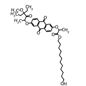 CCC(CC)(OC)C(=O)C(C)Oc1ccc2c(c1)C(=O)c1ccc(OC(C)C(=O)OCCCCCCCCCCCCO)cc1C2=O